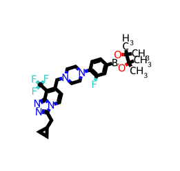 CC1(C)OB(c2ccc(N3CCN(Cc4ccn5c(CC6CC6)nnc5c4C(F)(F)F)CC3)c(F)c2)OC1(C)C